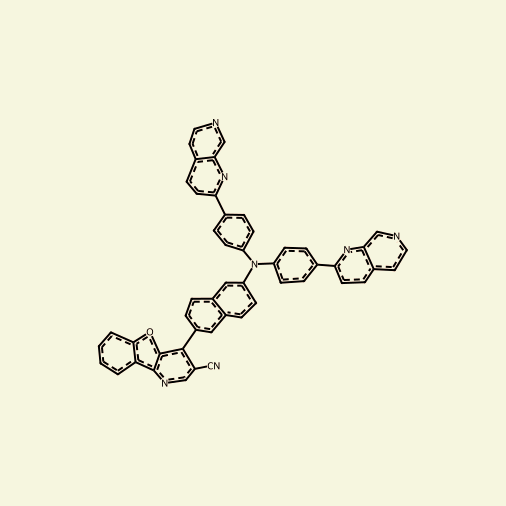 N#Cc1cnc2c(oc3ccccc32)c1-c1ccc2cc(N(c3ccc(-c4ccc5ccncc5n4)cc3)c3ccc(-c4ccc5ccncc5n4)cc3)ccc2c1